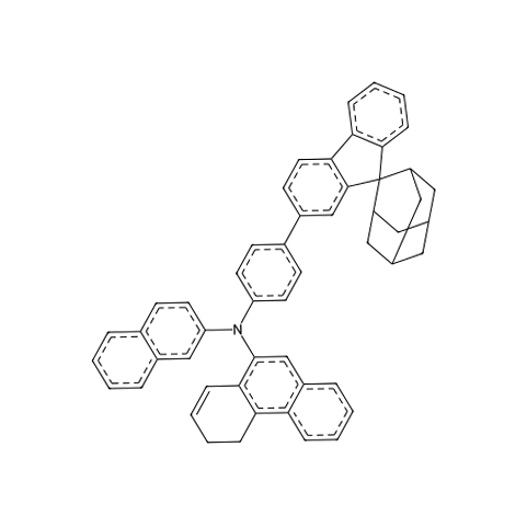 C1=Cc2c(N(c3ccc(-c4ccc5c(c4)C4(c6ccccc6-5)C5CC6CC(C5)CC4C6)cc3)c3ccc4ccccc4c3)cc3ccccc3c2CC1